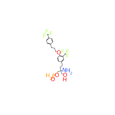 NC(CO)(CCc1ccc(OCCCc2ccc(C(F)(F)F)cc2)c(C(F)(F)F)c1)CO[PH2]=O